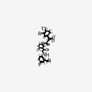 N#Cc1cc(F)ccc1NCC(=O)c1cc(NC(=O)C2C(c3ccc(Cl)c(Br)c3)C2(Cl)Cl)ccc1Cl